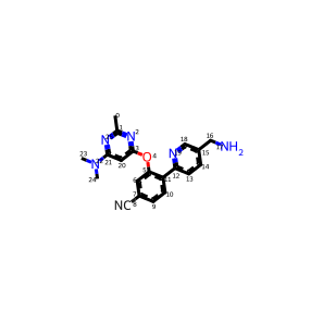 Cc1nc(Oc2cc(C#N)ccc2-c2ccc(CN)cn2)cc(N(C)C)n1